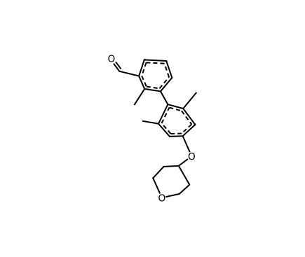 Cc1cc(OC2CCOCC2)cc(C)c1-c1cccc(C=O)c1C